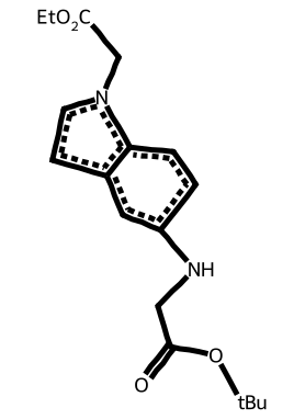 CCOC(=O)Cn1ccc2cc(NCC(=O)OC(C)(C)C)ccc21